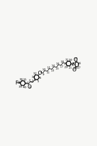 O=C(/C=C/c1ccc(OCCCCCCCCCCc2ccc(N3C(=O)C=CC3=O)cc2)cc1)c1ccc(F)cc1